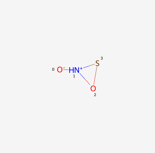 [O-][NH+]1OS1